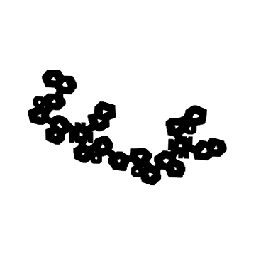 c1cc(-c2cccc3c2oc2cccc(-c4nc(-c5ccc6ccccc6c5)nc(-c5ccc(-c6cccc7oc8cc(-c9cccc%10ccccc9%10)ccc8c67)c6ccccc56)n4)c23)cc(-c2cccc3c2oc2cccc(-c4ccc(-c5nc(-c6ccc7ccccc7c6)nc(-c6cccc7c6oc6ccccc67)n5)c5ccccc45)c23)c1